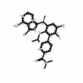 CC(C)Oc1c([C@H](C)c2nc(Cl)c3c(N)nccn23)cc(Cl)c(F)c1-c1ccc(C(=O)N(C)C)nc1